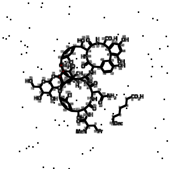 CCCCCCCCCCCCCCCC(=O)O.CNC(CC(C)C)C(=O)NC1C(=O)NC(CC(N)=O)C(=O)NC2C(=O)NC3C(=O)NC(C(=O)NC(C(=O)O)c4cc(O)cc(O)c4-c4cc3ccc4O)C(O)c3ccc(c(Cl)c3)Oc3cc2cc(c3OC2OC(CO)C(O)C(O)C2OC2CC(C)(N)C(O)C(C)O2)Oc2ccc(cc2Cl)C1O